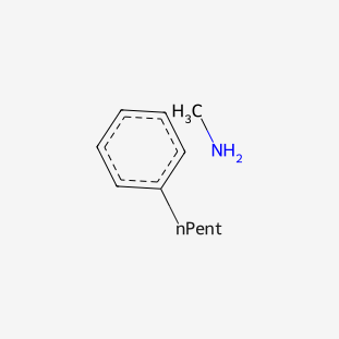 CCCCCc1ccccc1.CN